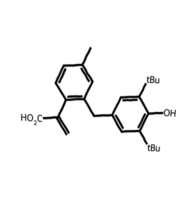 C=C(C(=O)O)c1ccc(C)cc1Cc1cc(C(C)(C)C)c(O)c(C(C)(C)C)c1